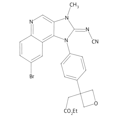 CCOC(=O)CC1(c2ccc(-n3c(=NC#N)n(C)c4cnc5ccc(Br)cc5c43)cc2)COC1